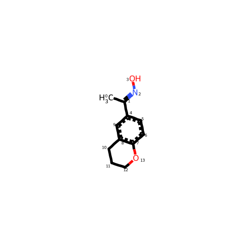 C/C(=N\O)c1ccc2c(c1)CCCO2